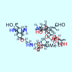 CC[C@@H](OC(=O)[C@H](C)[C@@H](O[C@@H]1C[C@@H](C)[C@H](OS(=O)(=O)CCNCCCOc2ccc3c(=N)c(C(=O)O)cn(N(C)C)c3c2)[C@](C)(OC)C1)C(C)[C@@H](O[C@@H]1O[C@H](C)C[C@H](N(C)C)[C@H]1O)[C@@](C)(C[C@@H](C)C=O)OC)[C@@](C)(O)[C@@H](C)O